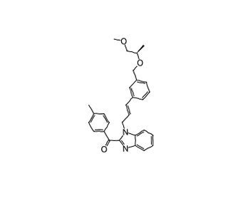 COC[C@@H](C)OCc1cccc(/C=C/Cn2c(C(=O)c3ccc(C)cc3)nc3ccccc32)c1